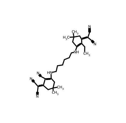 CCC1=C(NCCCCCCNC2=C(C#N)C(=C(C#N)C#N)CC(C)(C)C2)CC(C)(C)CC1=C(C#N)C#N